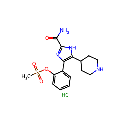 CS(=O)(=O)Oc1ccccc1-c1nc(C(N)=O)[nH]c1C1CCNCC1.Cl